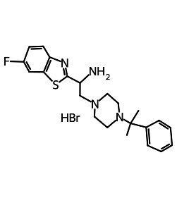 Br.CC(C)(c1ccccc1)N1CCN(CC(N)c2nc3ccc(F)cc3s2)CC1